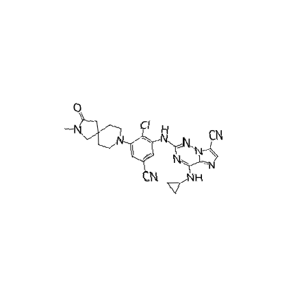 CN1CC2(CCN(c3cc(C#N)cc(Nc4nc(NC5CC5)c5ncc(C#N)n5n4)c3Cl)CC2)CC1=O